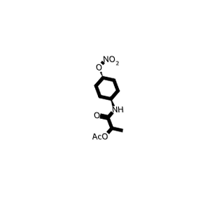 CC(=O)OC(C)C(=O)N[C@H]1CC[C@H](O[N+](=O)[O-])CC1